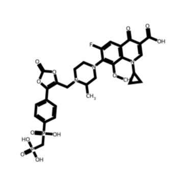 COc1c(N2CCN(Cc3oc(=O)oc3-c3ccc(P(=O)(O)CP(=O)(O)O)cc3)C(C)C2)c(F)cc2c(=O)c(C(=O)O)cn(C3CC3)c12